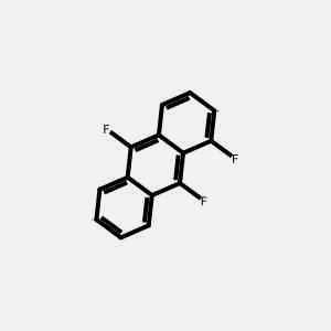 Fc1c2c[c]ccc2c(F)c2c(F)[c]ccc12